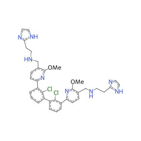 COc1nc(-c2cccc(-c3cccc(-c4ccc(CNCCc5ncc[nH]5)c(OC)n4)c3Cl)c2Cl)ccc1CNCCc1ncc[nH]1